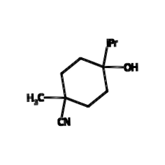 CC(C)C1(O)CCC(C)(C#N)CC1